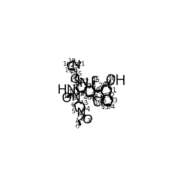 C=CC(=O)N1CCC(n2c(=O)[nH]c3c(OC[C@@H]4CCCN4C)nc4c(F)c(-c5cc(O)cc6ccccc56)c(Cl)cc4c32)CC1